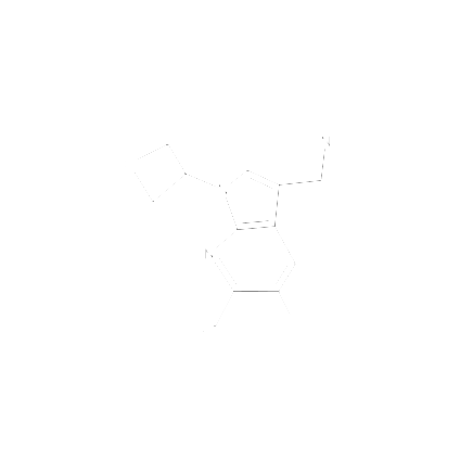 NCc1cn(C2COC2)c2nc(Cl)c(F)cc12